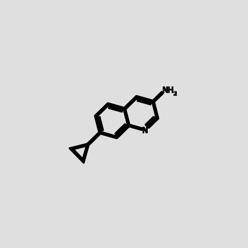 Nc1cnc2cc(C3CC3)ccc2c1